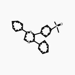 CP(C)(=O)c1ccc(-c2nc(-c3ccccc3)cnc2-c2ccccc2)cc1